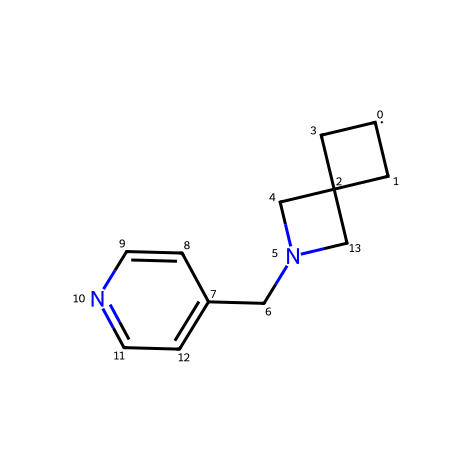 [CH]1CC2(C1)CN(Cc1ccncc1)C2